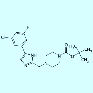 CC(C)(C)OC(=O)N1CCN(Cc2nnc(-c3cc(F)cc(Cl)c3)[nH]2)CC1